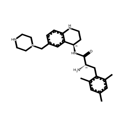 Cc1cc(C)c(C[C@H](N)C(=O)N[C@@H]2CCNc3ccc(CN4CCNCC4)cc32)c(C)c1